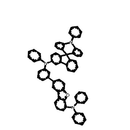 c1ccc(N(c2cccc(-c3ccc4oc5c(N(c6ccccc6)c6ccccc6)cccc5c4c3)c2)c2ccc3c(c2)-c2ccccc2C32c3ccccc3N(c3ccccc3)c3ccccc32)cc1